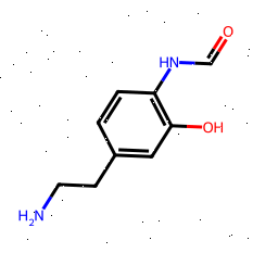 NCCc1ccc(NC=O)c(O)c1